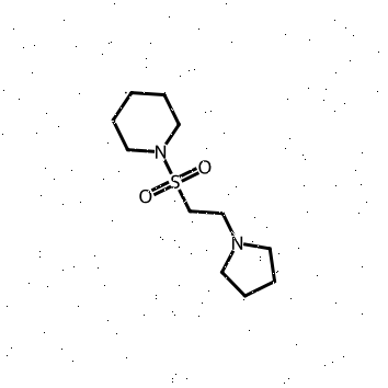 O=S(=O)(CCN1CCCC1)N1CC[CH]CC1